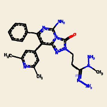 Cc1cc(-c2c(-c3ccccc3)nc(N)n3c(=O)n(CC/C(=N/N)N(C)N)nc23)cc(C)n1